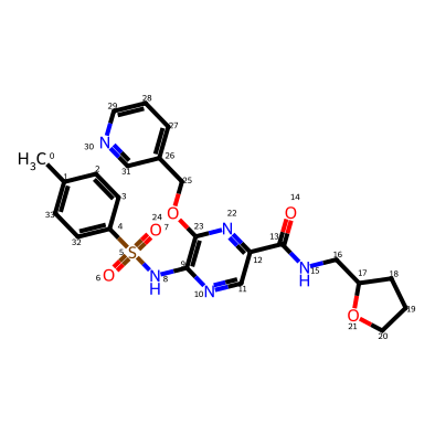 Cc1ccc(S(=O)(=O)Nc2ncc(C(=O)NCC3CCCO3)nc2OCc2cccnc2)cc1